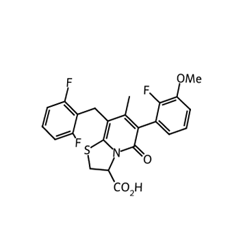 COc1cccc(-c2c(C)c(Cc3c(F)cccc3F)c3n(c2=O)C(C(=O)O)CS3)c1F